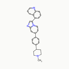 CN1CCC(c2ccc(-c3ccn4c(-c5cccc6ncccc56)cnc4c3)cc2)CC1